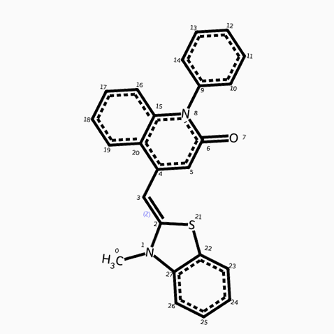 CN1/C(=C/c2cc(=O)n(-c3ccccc3)c3ccccc23)Sc2ccccc21